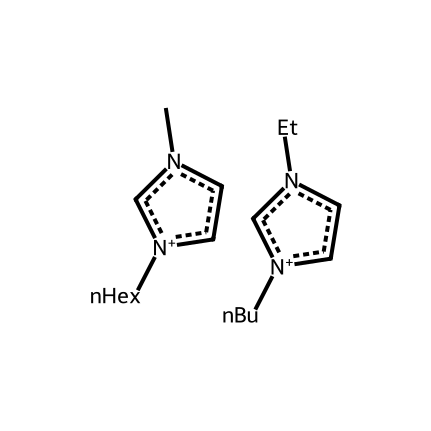 CCCCCC[n+]1ccn(C)c1.CCCC[n+]1ccn(CC)c1